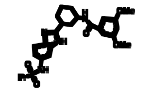 COc1cc(OC)cc(C(=O)NC2CCCC(c3nc4ccc(NS(=O)(=O)C(C)C)cc4[nH]3)C2)c1